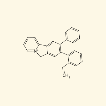 C=Cc1ccccc1-c1cc2c(cc1-c1ccccc1)-c1cccc[n+]1C2